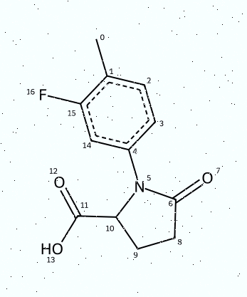 Cc1ccc(N2C(=O)CCC2C(=O)O)cc1F